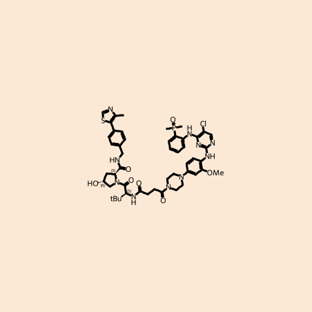 COc1cc(N2CCN(C(=O)CCC(=O)N[C@H](C(=O)N3C[C@H](O)C[C@H]3C(=O)NCc3ccc(-c4scnc4C)cc3)C(C)(C)C)CC2)ccc1Nc1ncc(Cl)c(Nc2ccccc2P(C)(C)=O)n1